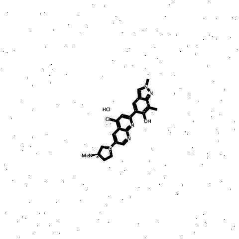 CN[C@@H]1CCN(c2cnc3nc(-c4cc5cn(C)nc5c(C)c4O)cc(Cl)c3c2)C1.Cl